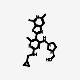 Cc1cc2nc(-c3c(C)nc(NCC4CC4)nc3N[C@H]3CC[C@@H](CO)C3)sc2c(C)n1